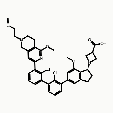 COCCN1CCc2c(cc(-c3cccc(-c4cccc(-c5cc6c(c(OC)c5)[C@@H](N5CC(C(=O)O)C5)CC6)c4Cl)c3Cl)nc2OC)C1